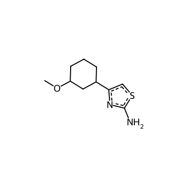 COC1CCCC(c2csc(N)n2)C1